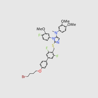 COc1cc(-n2c(N(C)c3ccc(OC)c(OC)c3)cnc2SCc2c(F)cc(-c3ccc(OCCCCBr)cc3)cc2F)ccc1F